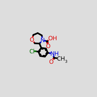 CC(=O)Nc1ccc(Cl)c(C2COCCCN2C(=O)O)c1